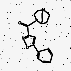 O=C(c1cc(-c2ccccc2)on1)N1CCN2CCC1CC2